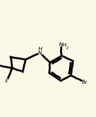 Nc1cc(Br)ccc1NC1CC(F)(F)C1